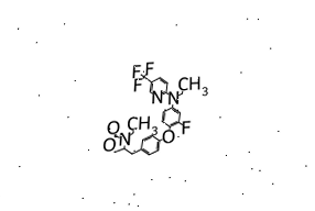 CCN(c1ccc(Oc2ccc(CC3COC(=O)N3CC)cc2)c(F)c1)c1ccc(C(F)(F)F)cn1